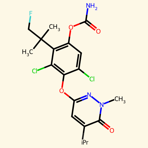 CC(C)c1cc(Oc2c(Cl)cc(OC(N)=O)c(C(C)(C)CF)c2Cl)nn(C)c1=O